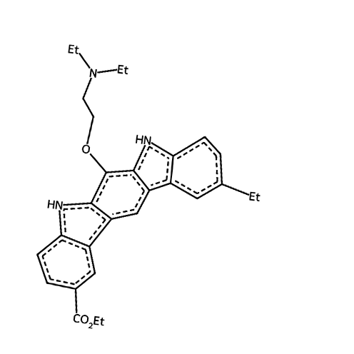 CCOC(=O)c1ccc2[nH]c3c(OCCN(CC)CC)c4[nH]c5ccc(CC)cc5c4cc3c2c1